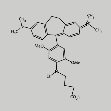 CCN(CCCC(=O)O)c1cc(OC)c(C2=C3C=CC(=[N+](C)C)C=C3CCc3cc(N(C)C)ccc32)cc1OC